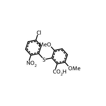 COc1ccc(OC)c(C(=O)O)c1Sc1cc(Cl)ccc1[N+](=O)[O-]